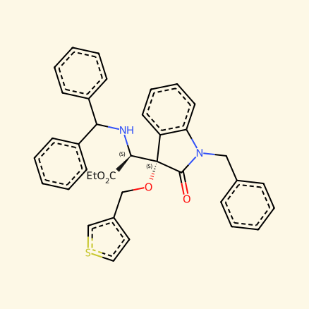 CCOC(=O)[C@@H](NC(c1ccccc1)c1ccccc1)[C@]1(OCc2ccsc2)C(=O)N(Cc2ccccc2)c2ccccc21